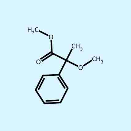 COC(=O)C(C)(OC)c1ccccc1